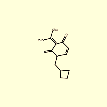 CSC(SC)=C1C(=O)C=CN(CC2CCC2)C1=O